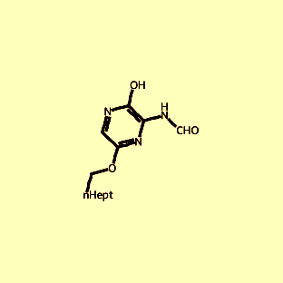 CCCCCCCCOc1cnc(O)c(NC=O)n1